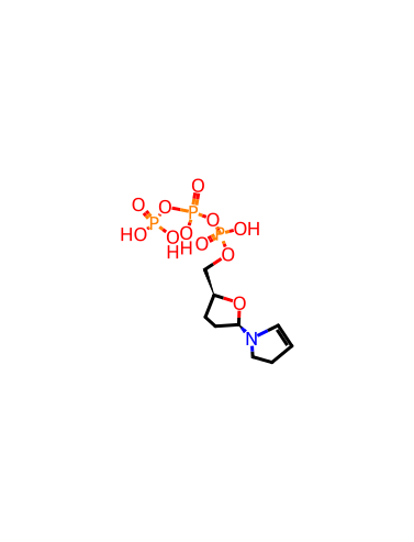 O=P(O)(O)OP(=O)(O)OP(=O)(O)OC[C@@H]1CC[C@H](N2C=CCC2)O1